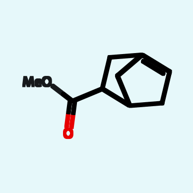 COC(=O)C1CC2=CCC1C2